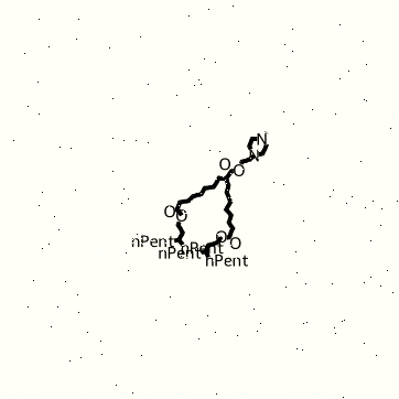 CCCCCC(CCCCC)CCOC(=O)CCCCCCCC(CCCCCCCC(=O)OCCC(CCCCC)CCCCC)C(=O)OCCN1CCN(C)CC1